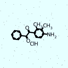 Cc1c(N)ccc(C(=O)C(=O)c2ccccc2)c1C.Cl